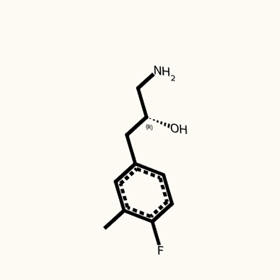 Cc1cc(C[C@@H](O)CN)ccc1F